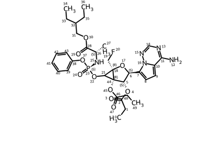 CCC(=O)O[C@H]1[C@H](c2ccc3c(N)ncnn23)O[C@]2(CF)C(O[P@@](=O)(N[C@@H](C)C(=O)OCC(CC)CC)Oc3ccccc3)[C@]12OC(=O)CC